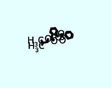 CC(C)COC(=O)c1ccccc1OS(=O)(=O)c1ccccc1